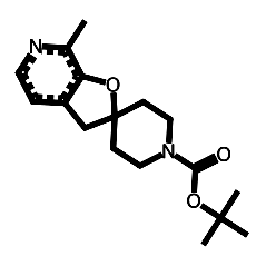 Cc1nccc2c1OC1(CCN(C(=O)OC(C)(C)C)CC1)C2